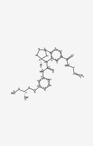 C=CCNC(=O)c1ccc2c(n1)N(C(=O)Nc1cc(OC[C@H](O)CO)ccn1)[C@H]1CCN2C1